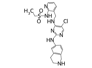 CCS(=O)(=O)Nc1ncccc1CNc1nc(Nc2ccc3c(c2)CCNC3)ncc1Cl